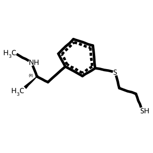 CN[C@H](C)Cc1cccc(SCCS)c1